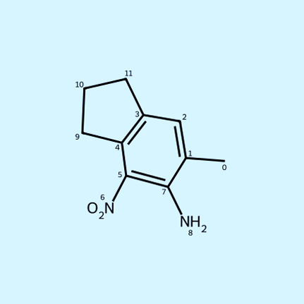 Cc1cc2c(c([N+](=O)[O-])c1N)CCC2